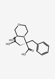 O=C(O)C[C@](Cc1ccccc1)(C(=O)O)N1CCOC[C@@H]1O